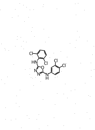 Clc1ccc(Nc2nnc(Nc3c(Cl)cccc3Cl)o2)cc1Cl